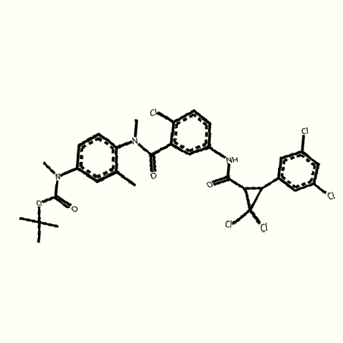 Cc1cc(N(C)C(=O)OC(C)(C)C)ccc1N(C)C(=O)c1cc(NC(=O)C2C(c3cc(Cl)cc(Cl)c3)C2(Cl)Cl)ccc1Cl